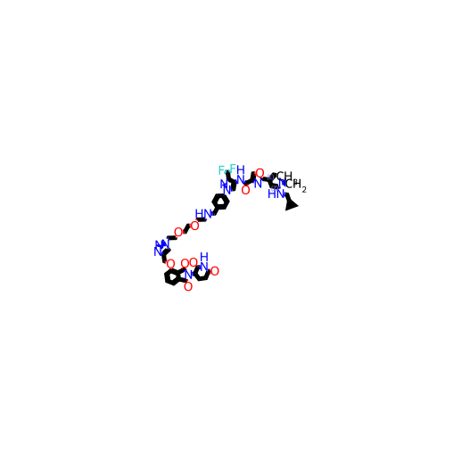 C=N/C(=C\C(=C/C)c1nc(C(=O)Nc2cn(-c3ccc(CNCCOCCOCCn4cc(COc5cccc6c5C(=O)N(C5CCC(=O)NC5=O)C6=O)nn4)cc3)nc2C(F)F)co1)NCC1CC1